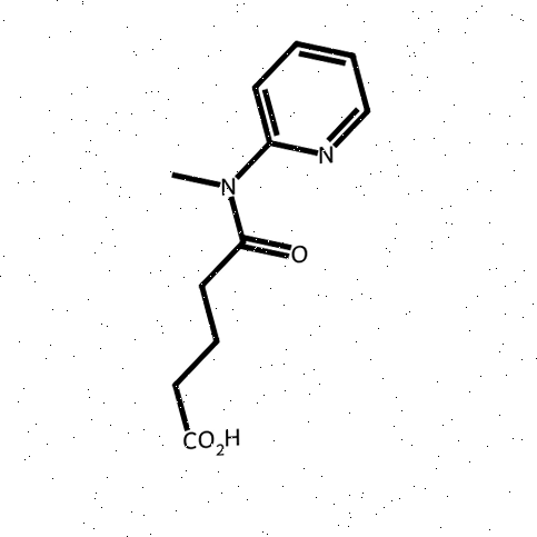 CN(C(=O)CCCC(=O)O)c1ccccn1